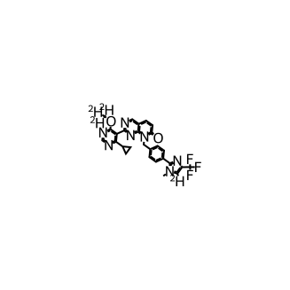 [2H]c1c(C(F)(F)F)nc(-c2ccc(Cn3c(=O)ccc4cnc(-c5c(OC([2H])([2H])[2H])ncnc5C5CC5)nc43)cc2)n1C